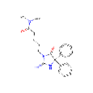 CCCN(CCC)C(=O)CCCCN1C(=N)NC(c2ccccc2)(c2ccccc2)C1=O